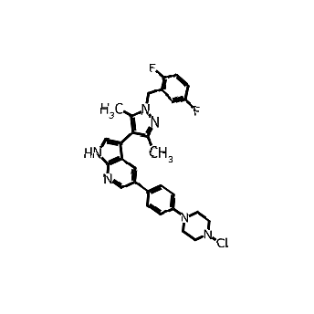 Cc1nn(Cc2cc(F)ccc2F)c(C)c1-c1c[nH]c2ncc(-c3ccc(N4CCN(Cl)CC4)cc3)cc12